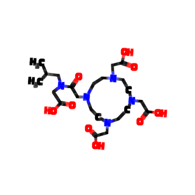 CC(C)CN(CC(=O)O)C(=O)CN1CCN(CC(=O)O)CCN(CC(=O)O)CCN(CC(=O)O)CC1